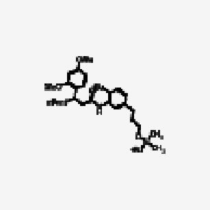 CCCCCC(CC(=O)Nc1cc(CCCO[Si](C)(C)C(C)(C)C)ccc1C(C)(C)C)c1ccc(OC)cc1OC